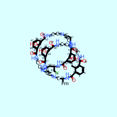 Cc1c2cccc1C(=O)N[CH]([Fm])CN1CCNC(=O)c3cccc(c3O)C(=O)NCCN(CCNC2=O)CCN2CCNC(=O)c3cccc(c3O)C(=O)NCCN(CC1)CC(CF)NC(=O)c1cccc(c1O)C(=O)NCC2